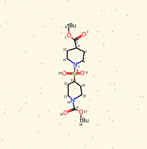 CC(C)(C)OC(=O)C1CCN(S(=O)(=O)C2CCN(C(=O)OC(C)(C)C)CC2)CC1